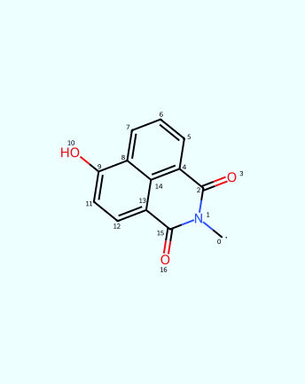 [CH2]N1C(=O)c2cccc3c(O)ccc(c23)C1=O